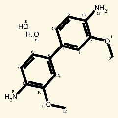 COc1cc(-c2ccc(N)c(OC)c2)ccc1N.Cl.O